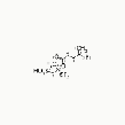 CC(C)C(C)CCC(=O)OC(CS(=O)(=O)O)(C(F)(F)F)C(F)(F)F